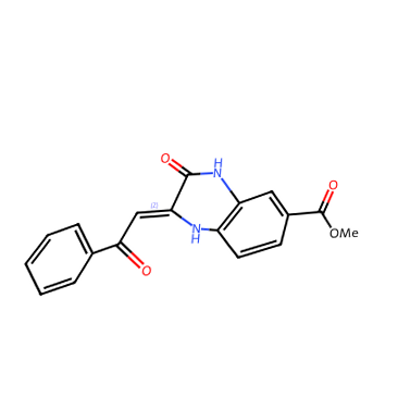 COC(=O)c1ccc2c(c1)NC(=O)/C(=C/C(=O)c1ccccc1)N2